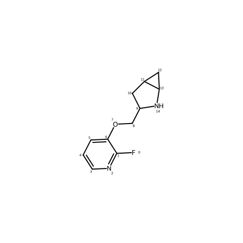 Fc1ncccc1OCC1CC2CC2N1